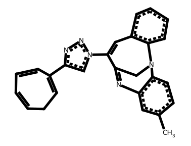 Cc1ccc2c(c1)N=C1CN2c2ccccc2C=C1n1cc(C2=CCC=CC=C2)nn1